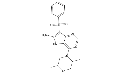 CC1CN(c2ncnc3c(S(=O)(=O)c4ccccc4)c(N)[nH]c23)C(C)CO1